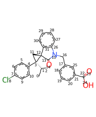 CC(C)[C@]1(c2ccc(Cl)cc2)C[C@@]12C(=O)N(Cc1cccc(C(=O)O)c1)c1ccccc12